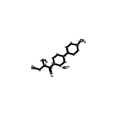 CN1CCC(N2CCN(C(=O)[C@H](N)CO)CC2)CC1.Cl